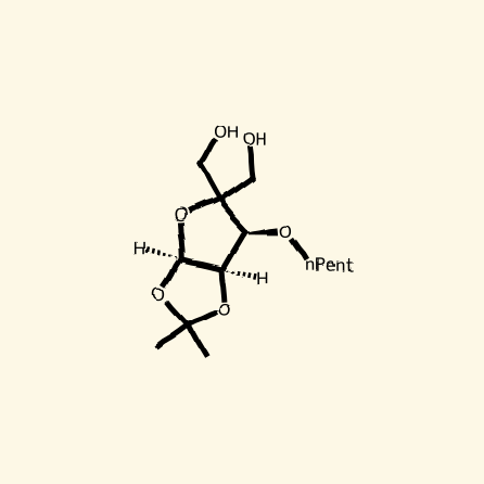 CCCCCO[C@H]1[C@H]2OC(C)(C)O[C@H]2OC1(CO)CO